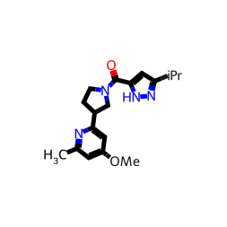 COc1cc(C)nc(C2CCN(C(=O)c3cc(C(C)C)n[nH]3)C2)c1